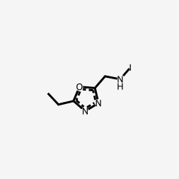 CCc1nnc(CNI)o1